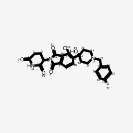 O=C1CCC(N2C(=O)c3ccc(C4(O)CCN(Cc5ccc(F)cc5)CC4)c(Cl)c3C2=O)C(=O)N1